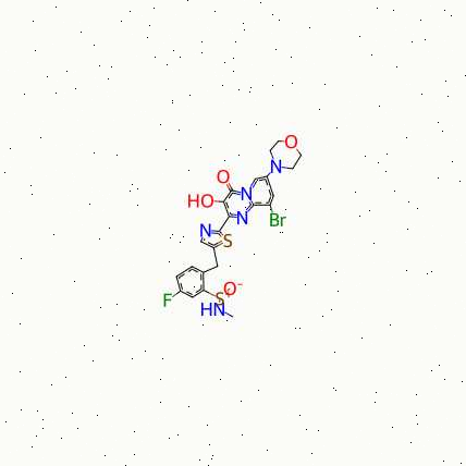 CN[S+]([O-])c1cc(F)ccc1Cc1cnc(-c2nc3c(Br)cc(N4CCOCC4)cn3c(=O)c2O)s1